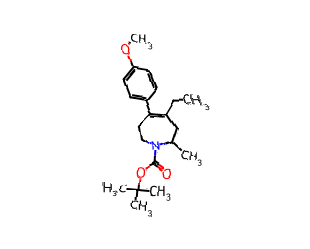 CCC1=C(c2ccc(OC)cc2)CCN(C(=O)OC(C)(C)C)C(C)C1